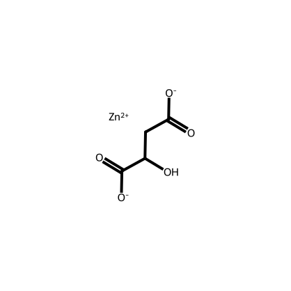 O=C([O-])CC(O)C(=O)[O-].[Zn+2]